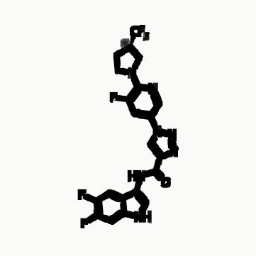 O=C(Nc1c[nH]c2cc(F)c(F)cc12)c1cn(-c2cnc(N3CC[C@H](C(F)(F)F)C3)c(F)c2)nn1